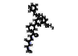 Bc1cnn2c(NCc3cccnc3)cc(C3CCCN(C(=O)/C=C/C(C)=C/C=C\C)C3)nc12